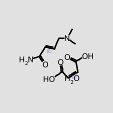 CN(C)C/C=C/C(N)=O.O.O=C(O)/C=C\C(=O)O